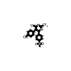 CS(=O)(=O)c1ccc(-c2nc(C(F)(F)F)nc(Cl)c2-c2ccc(Cl)cc2)cc1